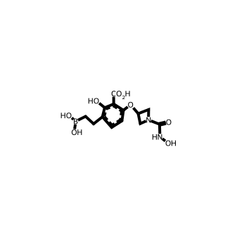 O=C(O)c1c(OC2CN(C(=O)NO)C2)ccc(CCB(O)O)c1O